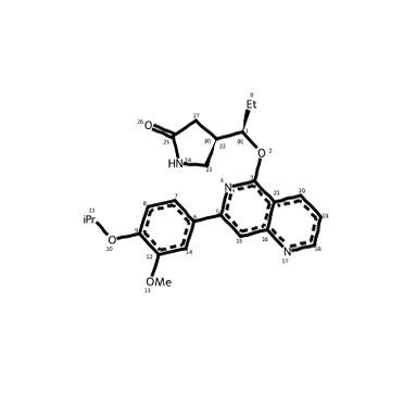 CC[C@@H](Oc1nc(-c2ccc(OC(C)C)c(OC)c2)cc2ncccc12)[C@H]1CNC(=O)C1